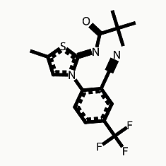 Cc1cn(-c2ccc(C(F)(F)F)cc2C#N)/c(=N/C(=O)C(C)(C)C)s1